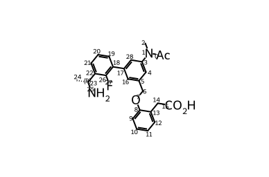 CC(=O)N(C)c1cc(COc2ccccc2CC(=O)O)cc(-c2cccc([C@@H](C)N)c2F)c1